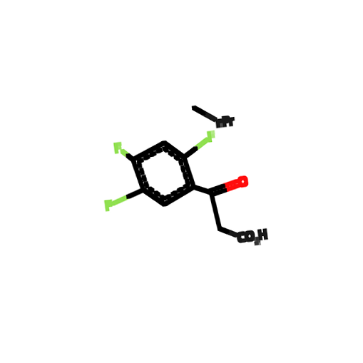 CCCC.O=C(O)CC(=O)c1cc(F)c(F)cc1F